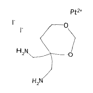 NCC1(CN)CCOCO1.[I-].[I-].[Pt+2]